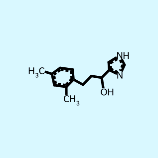 Cc1ccc(CCC(O)c2c[nH]cn2)c(C)c1